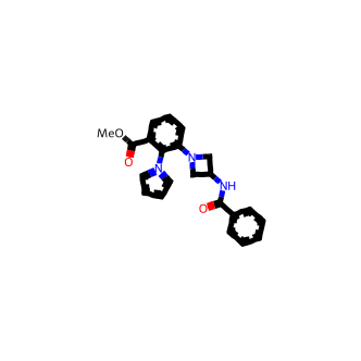 COC(=O)c1cccc(N2CC(NC(=O)c3ccccc3)C2)c1-n1cccc1